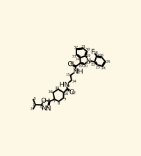 CC(C)c1nnc(C2CCC(C(=O)NCCNC(=O)c3cn(-c4ccccc4F)c4ccccc34)CC2)o1